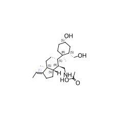 C/C=C1\CC[C@H]2[C@H](CN)[C@@H]([C@@]3(C)CC[C@H](O)C[C@@H]3CO)CC[C@]12C.CC(=O)O